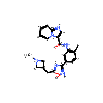 CSN1CC(Cc2nc(-c3ccc(C)c(NC(=O)c4cnc5ccccn45)c3)no2)C1